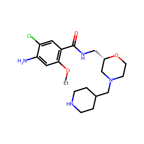 CCOc1cc(N)c(Cl)cc1C(=O)NC[C@H]1CN(CC2CCNCC2)CCO1